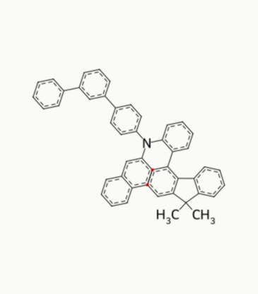 CC1(C)c2ccccc2-c2c(-c3ccccc3N(c3ccc(-c4cccc(-c5ccccc5)c4)cc3)c3ccc4ccccc4c3)cccc21